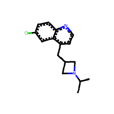 CC(C)N1CC(Cc2ccnc3ccc(Cl)cc23)C1